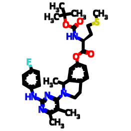 CSCC[C@H](NC(=O)OC(C)(C)C)C(=O)Oc1ccc2c(c1)C(C)N(c1nc(Nc3ccc(F)cc3)nc(C)c1C)CC2